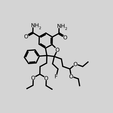 CCOC(CCC1(CCF)Oc2c(C(N)=O)cc(C(N)=O)cc2C1(CCC(OCC)OCC)c1ccccc1)OCC